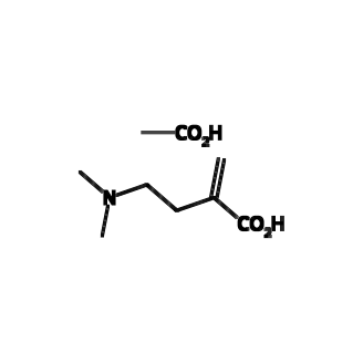 C=C(CCN(C)C)C(=O)O.CC(=O)O